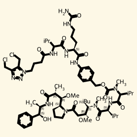 CC[C@H](C)[C@@H]([C@@H](CC(=O)N1CCC[C@H]1[C@H](OC)[C@@H](C)C(=O)N[C@H](C)[C@@H](O)c1ccccc1)OC)N(C)C(=O)[C@@H](NC(=O)C(C(C)C)N(C)C(=O)OCc1ccc(NC(=O)[C@H](CCCNC(N)=O)NC(=O)C(NC(=O)CCCn2nnc(CCl)c2CCl)C(C)C)cc1)C(C)C